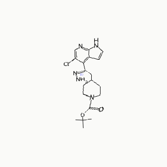 CC(C)(C)OC(=O)N1CCC(C/C(=N\N)c2c(Cl)cnc3[nH]ccc23)CC1